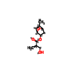 C=C(CO)C(=O)OC1CC2OC1CC2C